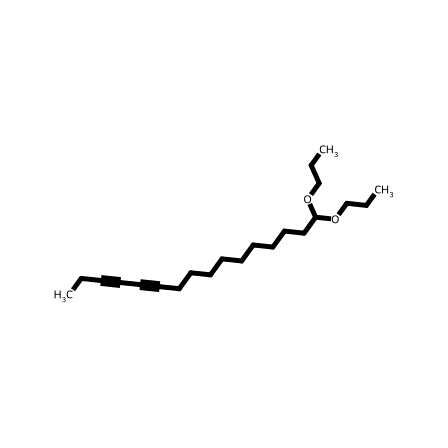 CCC#CC#CCCCCCCCCCC(OCCC)OCCC